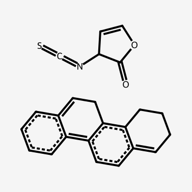 C1=c2ccc3c(c2CCC1)CC=c1ccccc1=3.O=C1OC=CC1N=C=S